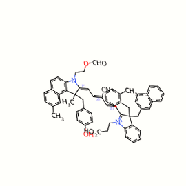 Cc1ccc2ccc3c(c2c1)C(C)(Cc1ccc(O)cc1)\C(=C/C=C(C#N)/C=C/C1=[N+](CCC(=O)O)c2ccccc2C1(Cc1ccc2ccccc2c1)Cc1ccccc1C)N3CCOC=O